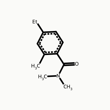 CCc1ccc(C(=O)N(C)C)c(C)c1